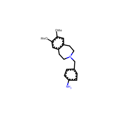 COc1cc2c(cc1OC)CCN(Cc1ccc(N)cc1)CC2